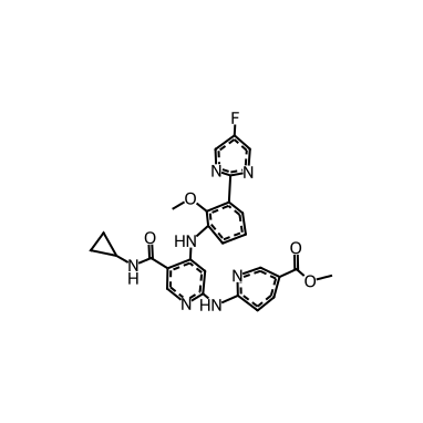 COC(=O)c1ccc(Nc2cc(Nc3cccc(-c4ncc(F)cn4)c3OC)c(C(=O)NC3CC3)cn2)nc1